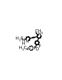 CCc1nccc(-c2ccc(C(=O)N3CCN(CC)CC3)c(F)c2)c1C#Cc1ccc(NC)nc1